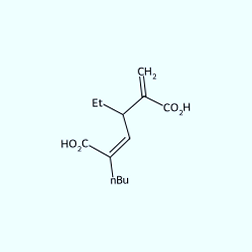 C=C(C(=O)O)C(C=C(CCCC)C(=O)O)CC